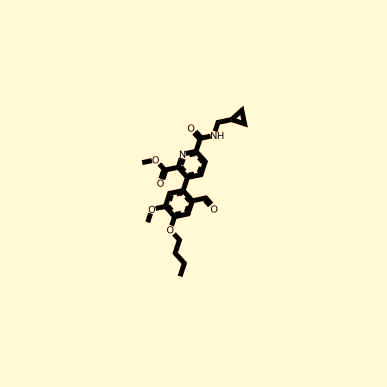 CCCCOc1cc(C=O)c(-c2ccc(C(=O)NCC3CC3)nc2C(=O)OC)cc1OC